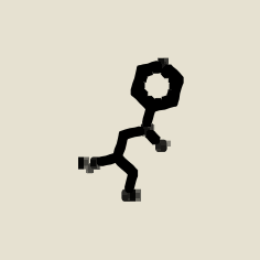 CC(CO)C[S+]([O-])c1ccncc1